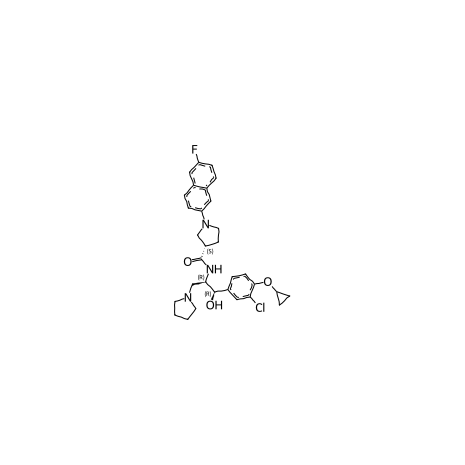 O=C(N[C@H](CN1CCCC1)[C@H](O)c1ccc(OC2CC2)c(Cl)c1)[C@H]1CCN(c2ccc3cc(F)ccc3c2)C1